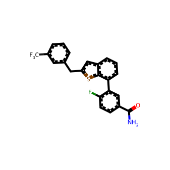 NC(=O)c1ccc(F)c(-c2cccc3cc(Cc4cccc(C(F)(F)F)c4)sc23)c1